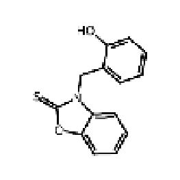 Oc1ccccc1Cn1c(=S)oc2ccccc21